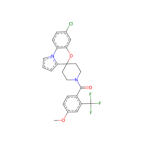 COc1ccc(C(=O)N2CCC3(CC2)Oc2cc(Cl)ccc2-n2cccc23)c(C(F)(F)F)c1